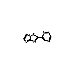 c1ccc(-c2nc3nccn3s2)nc1